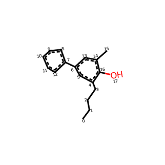 CCCCc1cc(-c2ccccc2)cc(C)c1O